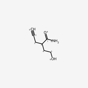 C#CCC(CCO)C(N)=O